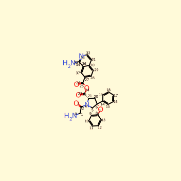 NCC(=O)N1C[C@](Oc2ccccc2)(c2ccccc2)C[C@H]1C(=O)OC(=O)c1ccc2ccnc(N)c2c1